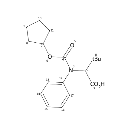 CC(C)(C)C(C(=O)O)N(C(=O)OC1CCCC1)c1ccccc1